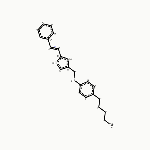 OCCCCc1ccc(OCc2coc(/C=C/c3ccccc3)n2)cc1